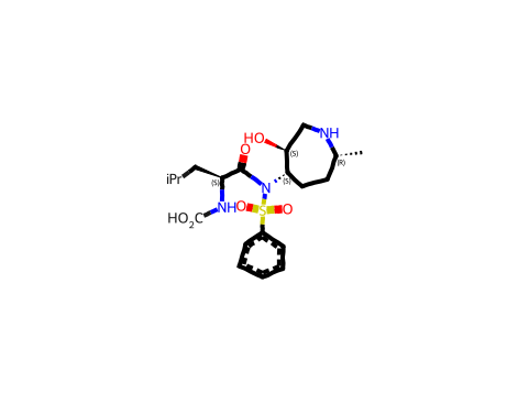 CC(C)C[C@H](NC(=O)O)C(=O)N([C@H]1CC[C@@H](C)NC[C@@H]1O)S(=O)(=O)c1ccccc1